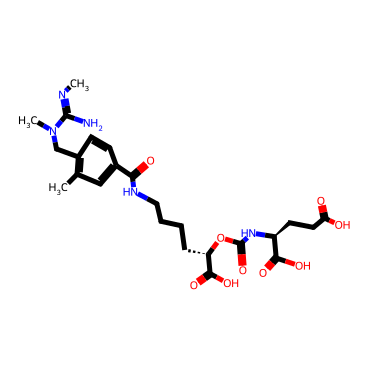 C/N=C(\N)N(C)Cc1ccc(C(=O)NCCCC[C@H](OC(=O)N[C@@H](CCC(=O)O)C(=O)O)C(=O)O)cc1C